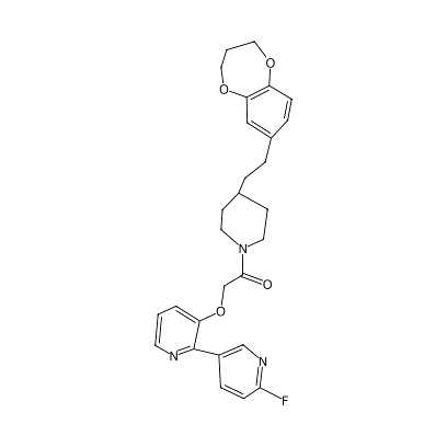 O=C(COc1cccnc1-c1ccc(F)nc1)N1CCC(CCc2ccc3c(c2)OCCCO3)CC1